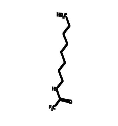 O=C(O)CCCCCCCNC(=O)C(F)(F)F